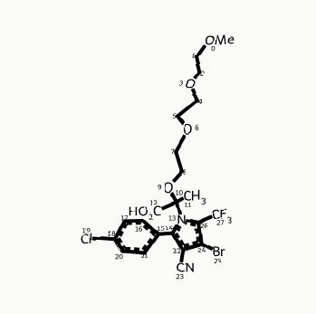 COCCOCCOCCOC(C)(C(=O)O)n1c(-c2ccc(Cl)cc2)c(C#N)c(Br)c1C(F)(F)F